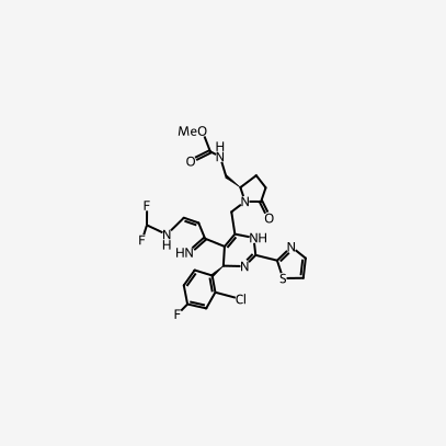 COC(=O)NC[C@H]1CCC(=O)N1CC1=C(C(=N)/C=C\NC(F)F)[C@H](c2ccc(F)cc2Cl)N=C(c2nccs2)N1